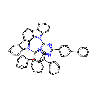 c1ccc(-c2ccc(-c3nc(-c4ccccc4)nc(-n4c5ccccc5c5ccc6c7ccccc7n(-c7ccc(-c8ccccc8)cc7-c7ccccc7)c6c54)n3)cc2)cc1